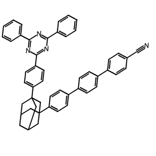 N#Cc1ccc(-c2ccc(-c3ccc(C45CC6CC(C4)CC(c4ccc(-c7nc(-c8ccccc8)nc(-c8ccccc8)n7)cc4)(C6)C5)cc3)cc2)cc1